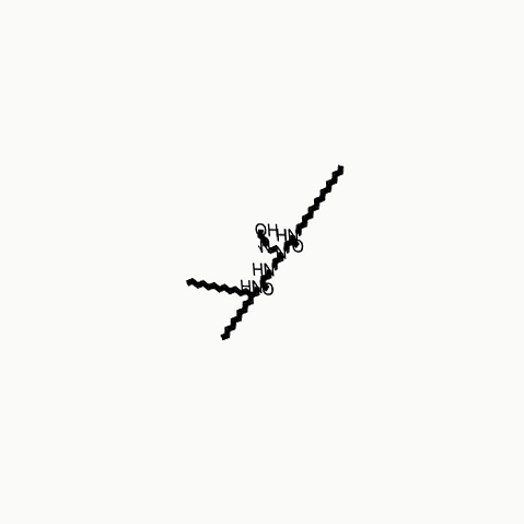 CCCCCCCCCCCCCCCCNC(=O)CCN(CCCNCCC(=O)NCC(CCCCCCCCCC)CCCCCCCCCCCC)CCN(C)CCO